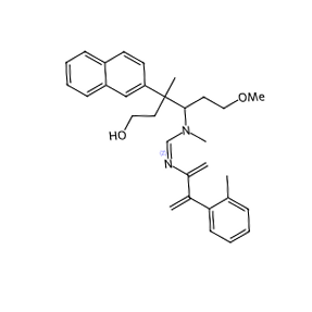 C=C(/N=C\N(C)C(CCOC)C(C)(CCO)c1ccc2ccccc2c1)C(=C)c1ccccc1C